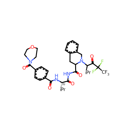 CC(C)C(C(=O)C(F)(F)C(F)(F)F)N1Cc2ccccc2CC1C(=O)NC(=O)[C@@H](NC(=O)c1ccc(C(=O)N2CCOCC2)cc1)C(C)C